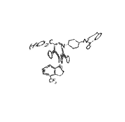 O=C(O)c1cn([C@H]2CC[C@H](N3CCOC3=O)CC2)c(=O)n([C@@H]2CCc3c2cccc3C(F)(F)F)c1=O